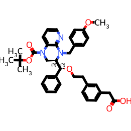 COc1ccc(CN2c3ncccc3N(C(=O)OC(C)(C)C)C[C@@H]2[C@H](OCCc2cccc(CC(=O)O)c2)c2ccccc2)cc1